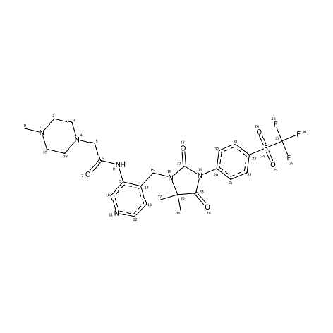 CN1CCN(CC(=O)Nc2cnccc2CN2C(=O)N(c3ccc(S(=O)(=O)C(F)(F)F)cc3)C(=O)C2(C)C)CC1